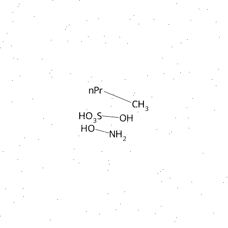 CCCC.NO.O=S(=O)(O)O